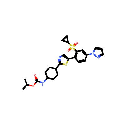 CC(C)OC(=O)NC1CCC(c2ncc(-c3ccc(-n4cccn4)cc3S(=O)(=O)C3CC3)s2)CC1